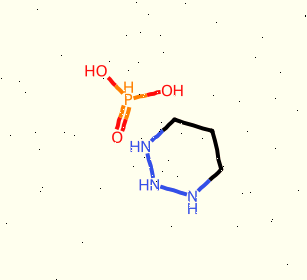 C1CNNNC1.O=[PH](O)O